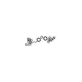 CCO[Si](CCCc1ccc(Oc2ccc(S(=O)(=O)N=[N+]=[N-])cc2)cc1)(OCC)OCC